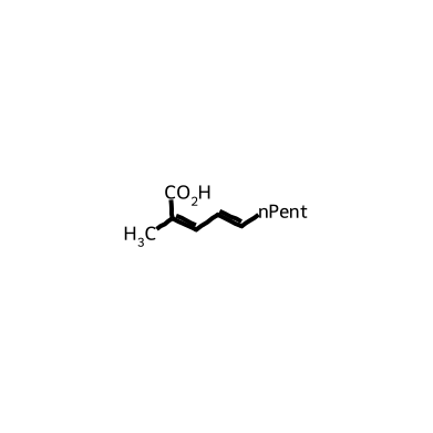 CCCCCC=C/C=C(/C)C(=O)O